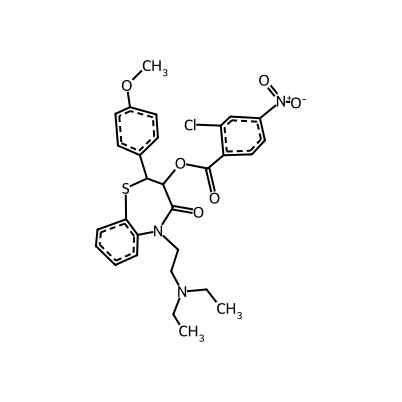 CCN(CC)CCN1C(=O)C(OC(=O)c2ccc([N+](=O)[O-])cc2Cl)C(c2ccc(OC)cc2)Sc2ccccc21